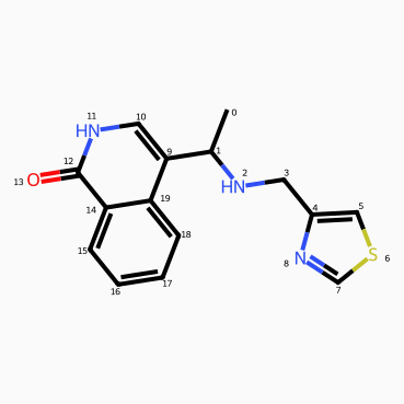 CC(NCc1cscn1)c1c[nH]c(=O)c2ccccc12